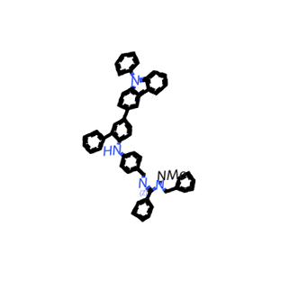 CNN(Cc1ccccc1)/C(=N\Cc1ccc(Nc2ccc(-c3ccc4c(c3)c3ccccc3n4-c3ccccc3)cc2-c2ccccc2)cc1)c1ccccc1